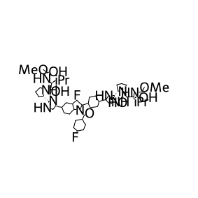 COC(O)N[C@@H](C(C)C)C(O)N1CCC[C@H]1C1NCC(C2CCC3C(C2)OC(C2CCC(F)CC2)N2C4CCC(C5CNC([C@@H]6CCCN6C(O)[C@@H](NC(O)OC)C(C)C)N5)CC4C(F)C32)N1